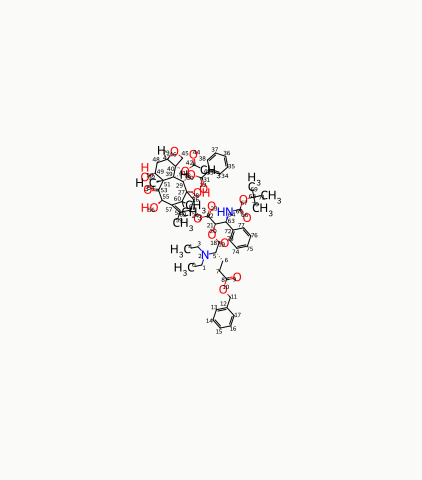 CCN(CC)[C@@H](CCC(=O)OCc1ccccc1)C(=O)O[C@@H](C(=O)O[C@H]1C[C@@]2(O)[C@@H](OC(=O)c3ccccc3)[C@@H]3[C@]4(OC(C)=O)CO[C@@H]4C[C@H](O)[C@@]3(C)C(=O)[C@H](O)C(=C1C)C2(C)C)[C@@H](NC(=O)OC(C)(C)C)c1ccccc1